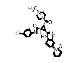 CN1CCN(C(=O)[C@H]2[C@H](C(=O)Nc3ccc(Cl)cc3)[C@@H]2C(=O)Nc2ccc(-n3ccccc3=O)cc2F)CC1